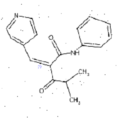 CC(C)C(=O)/C(=C/c1ccncc1)C(=O)Nc1ccccc1